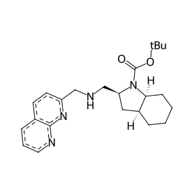 CC(C)(C)OC(=O)N1[C@H](CNCc2ccc3cccnc3n2)C[C@@H]2CCCC[C@@H]21